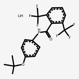 CC(C)(C)Oc1ccc(PC(=O)c2c(C(F)(F)F)cccc2C(F)(F)F)cc1.[LiH]